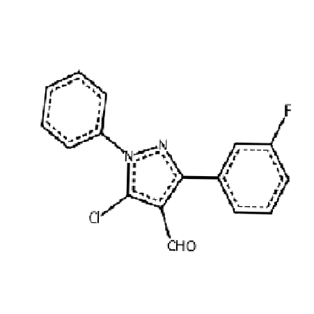 O=Cc1c(-c2cccc(F)c2)nn(-c2ccccc2)c1Cl